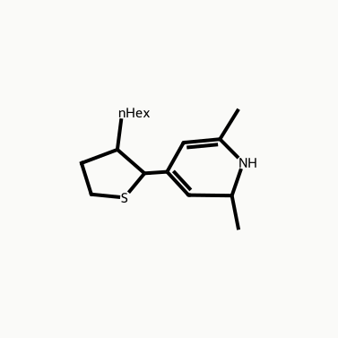 CCCCCCC1CCSC1C1=CC(C)NC(C)=C1